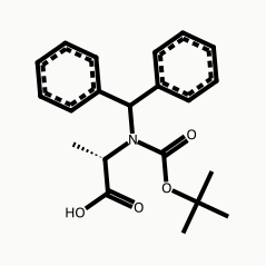 C[C@@H](C(=O)O)N(C(=O)OC(C)(C)C)C(c1ccccc1)c1ccccc1